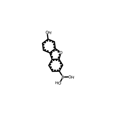 OB(O)c1ccc2c(c1)oc1cc(O)ccc12